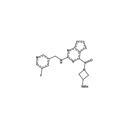 CNC1CN(C(=O)c2nc(NCc3cncc(F)c3)nc3ccsc23)C1